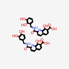 O=C(NCc1ccc(O)c(O)c1)c1ccc2ccc(C(=O)O)c(O)c2n1.O=C(NCc1cccc(O)c1O)c1ccc2ccc(C(=O)O)c(O)c2n1